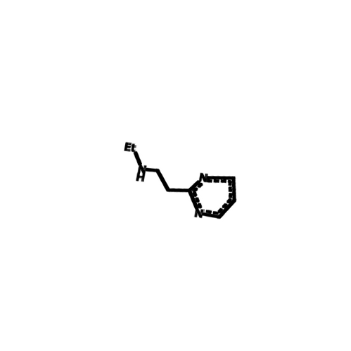 CCNCCc1ncccn1